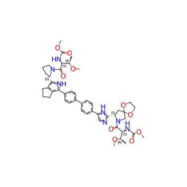 COC(=O)N[C@H](C(=O)N1CC2(C[C@H]1c1ncc(-c3ccc(-c4ccc(-c5[nH]c([C@@H]6CCCN6C(=O)[C@@H](NC(=O)OC)[C@@H](C)OC)c6c5CCC6)cc4)cc3)[nH]1)OCCO2)[C@@H](C)OC